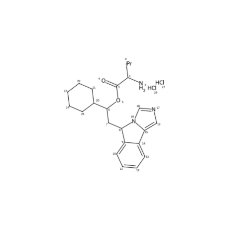 CC(C)C(N)C(=O)OC(CC1c2ccccc2-c2cncn21)C1CCCCC1.Cl.Cl